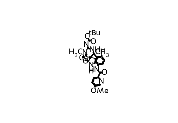 COc1ccc(C(=O)Nc2ccc(F)c([C@@]3(C)N/C(=N\C(=O)OC(C)(C)C)N(C)S(=O)(=O)[C@]34CCNC4)c2)nc1